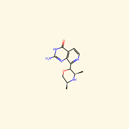 C[C@H]1COC(c2nccc3c(=O)[nH]c(N)nc23)[C@@H](C)N1